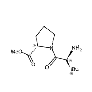 CC[C@H](C)[C@H](N)C(=O)N1CCC[C@H]1C(=O)OC